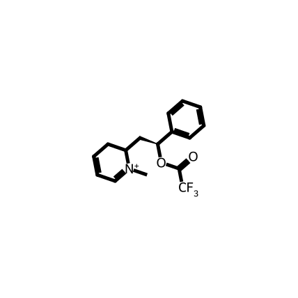 C[N+]1=CC=CCC1C[C@H](OC(=O)C(F)(F)F)c1ccccc1